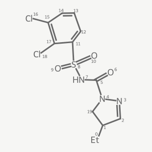 CCC1C=NN(C(=O)NS(=O)(=O)c2cccc(Cl)c2Cl)C1